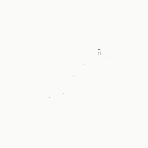 CNCC(=O)N1CCN(c2ccc(Cl)cc2Cl)[C@H](c2ccc(Cl)cc2)C1